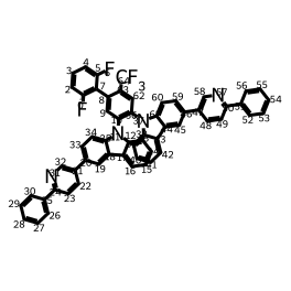 Fc1cccc(F)c1-c1cc(-n2c3ccccc3c3cc(-c4ccc(-c5ccccc5)nc4)ccc32)c(-n2c3ccccc3c3cc(-c4ccc(-c5ccccc5)nc4)ccc32)cc1C(F)(F)F